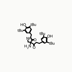 CC(C)(C)c1cc(CCC(=O)C(N)(CN)C(=O)CCc2cc(C(C)(C)C)c(O)c(C(C)(C)C)c2)cc(C(C)(C)C)c1O